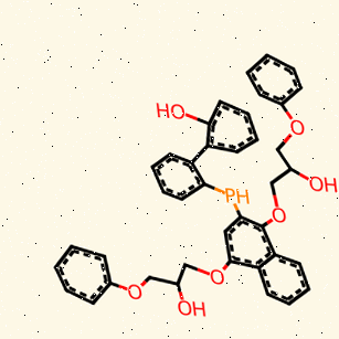 Oc1ccccc1-c1ccccc1Pc1cc(OCC(O)COc2ccccc2)c2ccccc2c1OCC(O)COc1ccccc1